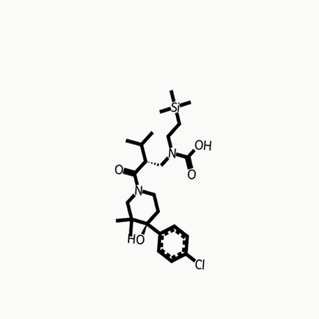 CC(C)[C@H](CN(CC[Si](C)(C)C)C(=O)O)C(=O)N1CC[C@](O)(c2ccc(Cl)cc2)C(C)(C)C1